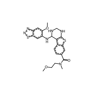 COCCN(C)C(=O)c1ccc2c3c(sc2c1)NCNC3Nc1cc2snnc2cc1OC